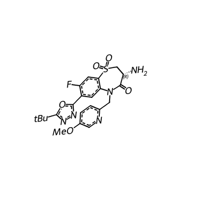 COc1ccc(CN2C(=O)[C@@H](N)CS(=O)(=O)c3cc(F)c(-c4nnc(C(C)(C)C)o4)cc32)nc1